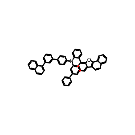 c1ccc(-c2cccc(N(c3ccc(-c4cccc(-c5cccc6ccccc56)c4)cc3)c3ccccc3-c3cccc4c3oc3c5ccccc5ccc43)c2)cc1